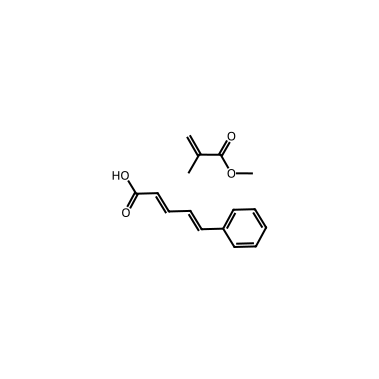 C=C(C)C(=O)OC.O=C(O)C=CC=Cc1ccccc1